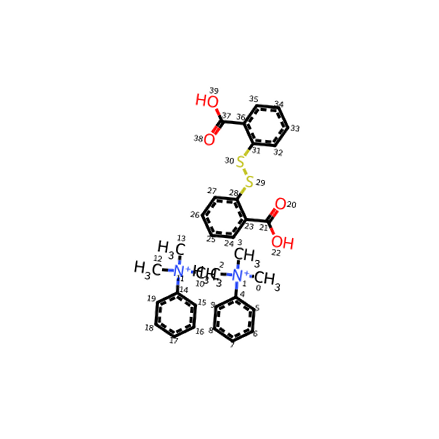 C[N+](C)(C)c1ccccc1.C[N+](C)(C)c1ccccc1.O=C(O)c1ccccc1SSc1ccccc1C(=O)O